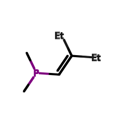 CCC(=CP(C)C)CC